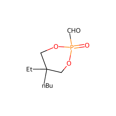 CCCCC1(CC)COP(=O)(C=O)OC1